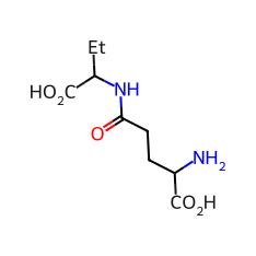 CCC(NC(=O)CCC(N)C(=O)O)C(=O)O